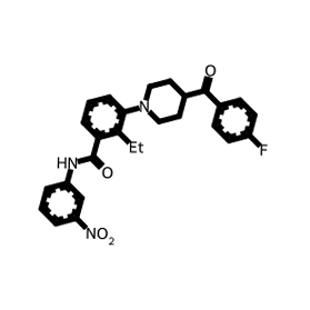 CCc1c(C(=O)Nc2cccc([N+](=O)[O-])c2)cccc1N1CCC(C(=O)c2ccc(F)cc2)CC1